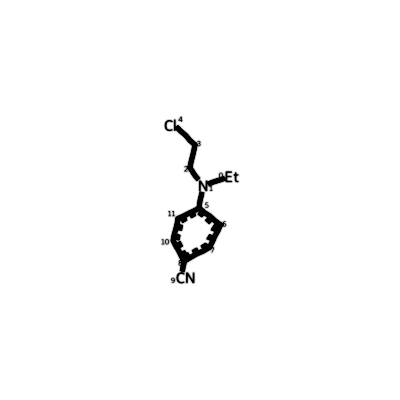 CCN(CCCl)c1ccc(C#N)cc1